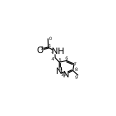 CC(=O)NCc1ccc(C)nn1